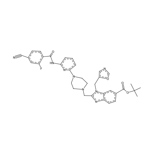 CC(C)(C)OC(=O)c1ccc2nc(CN3CCN(c4cccc(NC(=O)c5ccc(C#N)cc5F)n4)CC3)n(Cc3cnco3)c2c1